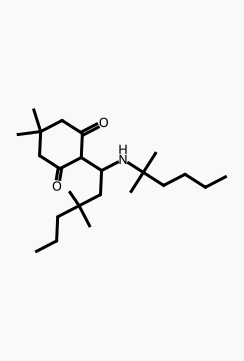 CCCCC(C)(C)NC(CC(C)(C)CCC)C1C(=O)CC(C)(C)CC1=O